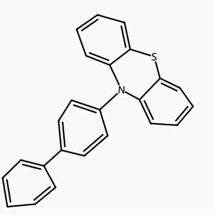 c1ccc(-c2ccc(N3c4ccccc4Sc4ccccc43)cc2)cc1